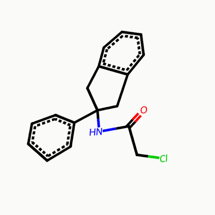 O=C(CCl)NC1(c2ccccc2)Cc2ccccc2C1